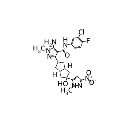 Cn1nc([N+](=O)[O-])cc1C1(O)C[C@H]2CC(c3nn(C)c(N)c3C(=O)Nc3ccc(F)c(Cl)c3)C[C@H]2C1